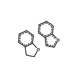 c1ccc2c(c1)CCO2.c1ccc2occc2c1